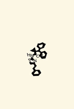 OC(Nc1nc(CCc2ccccc2)cs1)C1(C(c2ccccc2)c2ccccc2)CC1